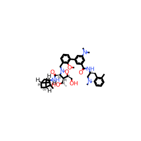 COc1c(CN2O[C@@H](CO)[C@@H]([C@H](C)O)[C@H]2C(=O)N[C@H]2C[C@H]3C[C@@H]([C@@H]2C)C3(C)C)cccc1-c1cc(C(=O)N[C@@H](Cc2ccccc2C)CN(C)C)cc(N(C)C)c1